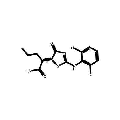 CCC/C(C(N)=O)=C1/SC(Nc2c(Cl)cccc2Cl)=NC1=O